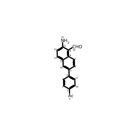 CC(=O)c1ccc(-c2ccc3c(C=O)c(N)ccc3c2)cc1